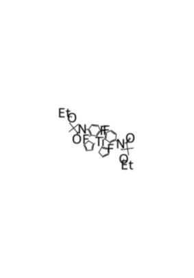 CCOCC1(C)CN(c2ccc(F)[c]([Ti]([C]3=CC=CC3)([C]3=CC=CC3)[c]3c(F)ccc(N4CC(C)(COCC)C4=O)c3F)c2F)C1=O